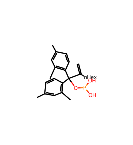 C=C(CCCCCC)C(OP(O)O)(c1ccc(C)cc1C)c1ccc(C)cc1C